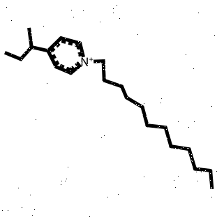 CCCCCCCCCCCC[n+]1ccc(C(C)CC)cc1